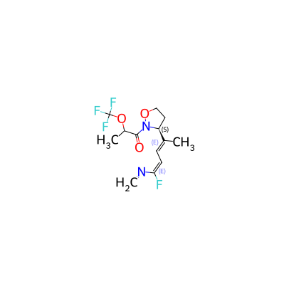 C=N/C(F)=C\C=C(/C)[C@@H]1CCON1C(=O)C(C)OC(F)(F)F